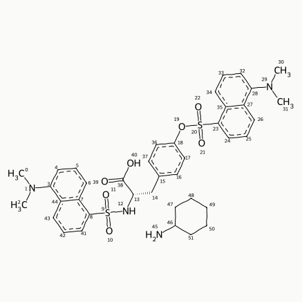 CN(C)c1cccc2c(S(=O)(=O)N[C@@H](Cc3ccc(OS(=O)(=O)c4cccc5c(N(C)C)cccc45)cc3)C(=O)O)cccc12.NC1CCCCC1